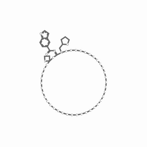 O=C(N=C1CC2(CCCCCCCCCCCCCCCCCCCCCCCCCCCCCCCCCCCCCCN1CC1CCCO1)CCS2)c1ccc2occc2c1